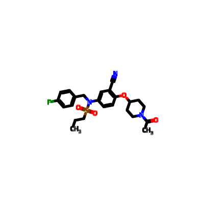 CCCS(=O)(=O)N(Cc1ccc(F)cc1)c1ccc(OC2CCN(C(C)=O)CC2)c(C#N)c1